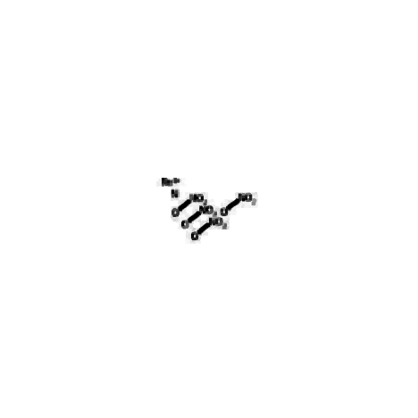 O=[N+]([O-])[O-].O=[N+]([O-])[O-].O=[N+]([O-])[O-].O=[N+]([O-])[O-].[N].[Ru+4]